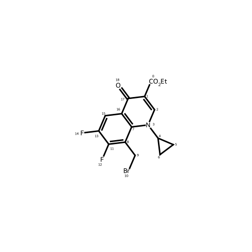 CCOC(=O)c1cn(C2CC2)c2c(CBr)c(F)c(F)cc2c1=O